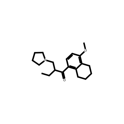 CCC(CN1CCCC1)C(=O)c1ccc(OC)c2c1CCCC2